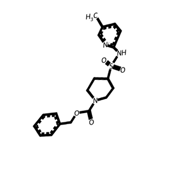 Cc1ccc(NS(=O)(=O)C2CCN(C(=O)OCc3ccccc3)CC2)nc1